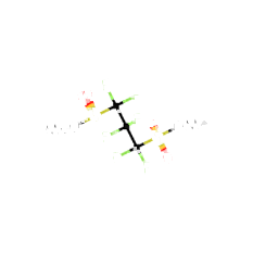 COS(=O)(=O)C(F)(F)C(F)(F)C(F)(F)S(=O)(=O)OC